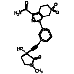 CN1CC[C@@](O)(C#Cc2cccc(-n3nc(C(N)=O)c4c3CS(=O)(=O)CC4)c2)C1=O